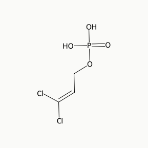 O=P(O)(O)OCC=C(Cl)Cl